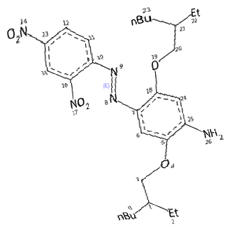 CCCCC(CC)COc1cc(/N=N/c2ccc([N+](=O)[O-])cc2[N+](=O)[O-])c(OCC(CC)CCCC)cc1N